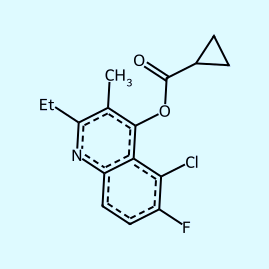 CCc1nc2ccc(F)c(Cl)c2c(OC(=O)C2CC2)c1C